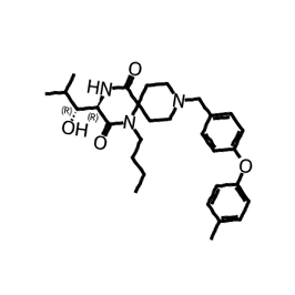 CCCCN1C(=O)[C@@H]([C@H](O)C(C)C)NC(=O)C12CCN(Cc1ccc(Oc3ccc(C)cc3)cc1)CC2